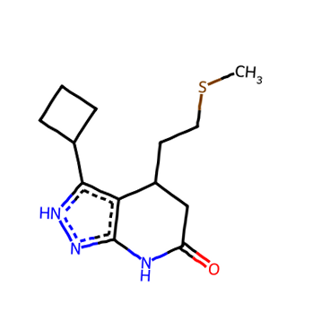 CSCCC1CC(=O)Nc2n[nH]c(C3CCC3)c21